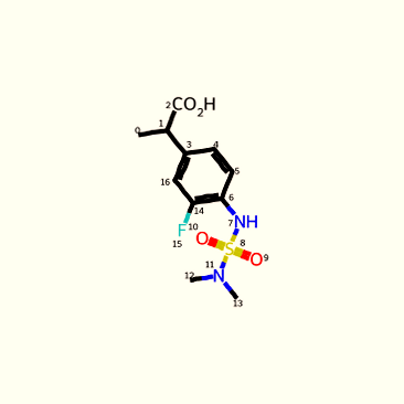 CC(C(=O)O)c1ccc(NS(=O)(=O)N(C)C)c(F)c1